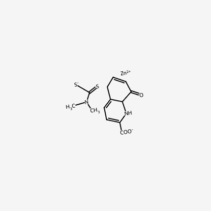 CN(C)C(=S)[S-].O=C([O-])C1=CC=C2CC=CC(=O)C2N1.[Zn+2]